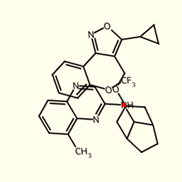 Cc1cccc2ncc(NC3C4CCC3CC(OCc3c(-c5ccccc5OC(F)(F)F)noc3C3CC3)C4)nc12